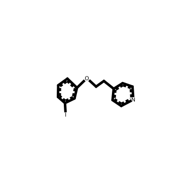 Ic1cccc(OCCc2ccncc2)c1